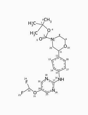 CC(C)(C)OC(=O)N1CCOC(c2ccc(Nc3ncc(OC(F)F)cn3)cc2)C1